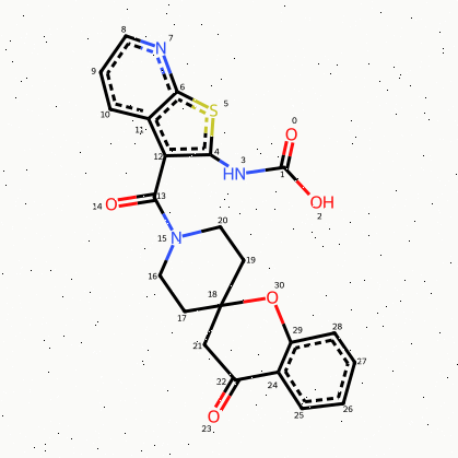 O=C(O)Nc1sc2ncccc2c1C(=O)N1CCC2(CC1)CC(=O)c1ccccc1O2